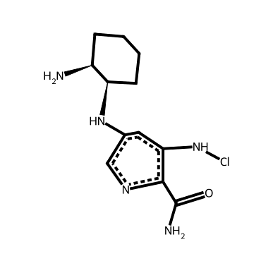 NC(=O)c1ncc(N[C@@H]2CCCC[C@@H]2N)cc1NCl